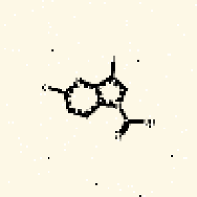 O=C(O)n1cc(I)c2nc(Cl)ccc21